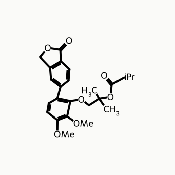 COc1ccc(-c2ccc3c(c2)COC3=O)c(OCC(C)(C)OC(=O)C(C)C)c1OC